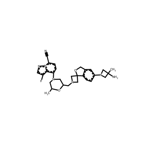 CC1CN(c2ccc(C#N)n3ncc(F)c23)CC(CN2CC3(C2)OCc2cc(N4CC(C)(N)C4)ccc23)O1